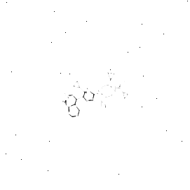 N#Cc1cc(-c2cnnc3ccccc23)c(C2CC2)nc1N1CCN(C(=O)C2CC2)[C@H](C2CC2)C1